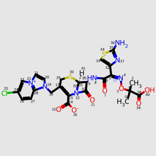 CC(C)(O/N=C(\C(=O)N[C@@H]1C(=O)N2C(C(=O)[O-])=C(Cn3cc[n+]4cc(Cl)ccc34)CS[C@@H]12)c1csc(N)n1)C(=O)O